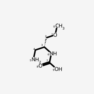 COC[C@@H](CN)NC(=O)O